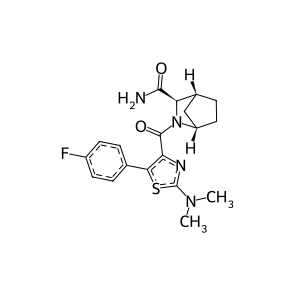 CN(C)c1nc(C(=O)N2[C@H]3CC[C@H](C3)[C@@H]2C(N)=O)c(-c2ccc(F)cc2)s1